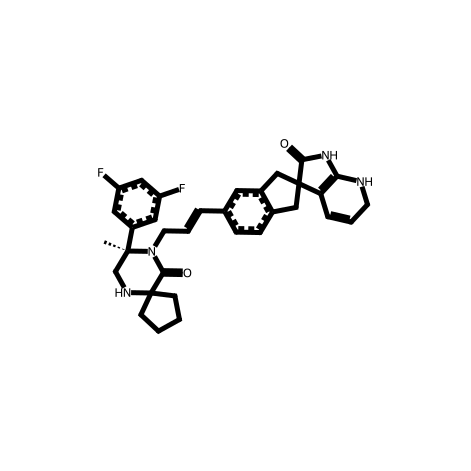 C[C@@]1(c2cc(F)cc(F)c2)CNC2(CCCC2)C(=O)N1C/C=C/c1ccc2c(c1)CC1(C2)C(=O)NC2=C1C=CCN2